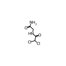 NC(=O)CNC(=O)C(Cl)Cl